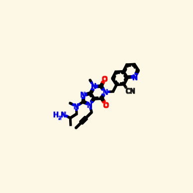 CC#CCn1c(N(C)CC(C)N)nc2c1c(=O)n(Cc1ccc3cccnc3c1C#N)c(=O)n2C